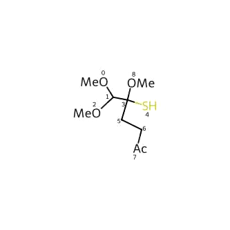 COC(OC)C(S)(CCC(C)=O)OC